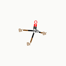 [O]=[Nb]([Br])([Br])[Br]